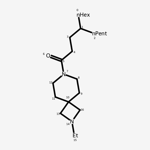 CCCCCCC(CCCCC)CCC(=O)N1CCC2(CC1)CN(CC)C2